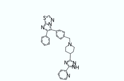 c1ccc(-c2nc3scnn3c2-c2ccc(CN3CCC(c4n[nH]c(-c5ccccn5)n4)CC3)cc2)cc1